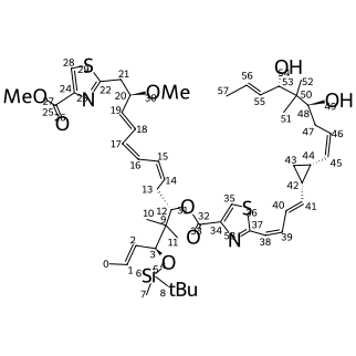 C/C=C/[C@H](O[Si](C)(C)C(C)(C)C)C(C)(C)[C@H](C\C=C/C=C\C=C\[C@@H](Cc1nc(C(=O)OC)cs1)OC)OC(=O)c1csc(/C=C\C=C\[C@@H]2C[C@@H]2/C=C\C[C@H](O)C(C)(C)[C@@H](O)/C=C/C)n1